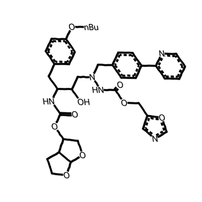 CCCCOc1ccc(CC(NC(=O)OC2COC3OCCC23)C(O)CN(Cc2ccc(-c3ccccn3)cc2)NC(=O)OCc2cnco2)cc1